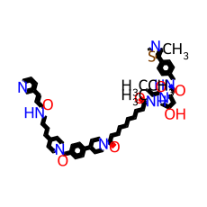 Cc1ncsc1-c1ccc(CNC(=O)[C@@H]2C[C@@H](O)CN2C(=O)[C@@H](NC(=O)CCCCCCCCC(=O)N2CCC(c3ccc(C(=O)N4CCC(CCCCNC(=O)/C=C/c5cccnc5)CC4)cc3)CC2)C(C)(C)C)cc1